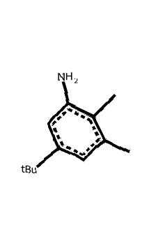 Cc1cc(C(C)(C)C)cc(N)c1C